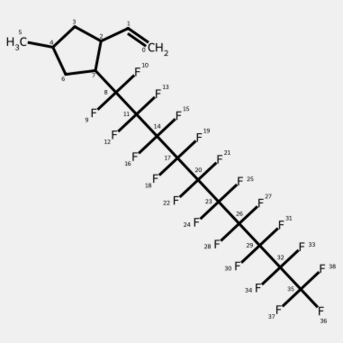 C=CC1CC(C)CC1C(F)(F)C(F)(F)C(F)(F)C(F)(F)C(F)(F)C(F)(F)C(F)(F)C(F)(F)C(F)(F)C(F)(F)F